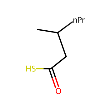 CCCC(C)CC(=O)S